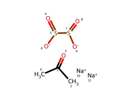 CC(C)=O.O=S([O-])S(=O)[O-].[Na+].[Na+]